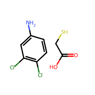 Nc1ccc(Cl)c(Cl)c1.O=C(O)CS